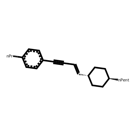 CCCCC[C@H]1CC[C@H](C=CC#Cc2ccc(CCC)cc2)CC1